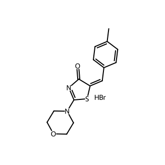 Br.Cc1ccc(C=C2SC(N3CCOCC3)=NC2=O)cc1